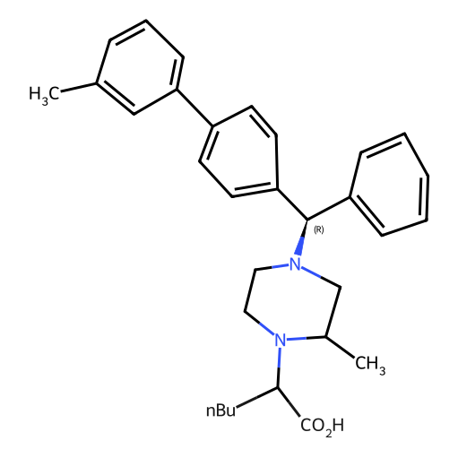 CCCCC(C(=O)O)N1CCN([C@H](c2ccccc2)c2ccc(-c3cccc(C)c3)cc2)CC1C